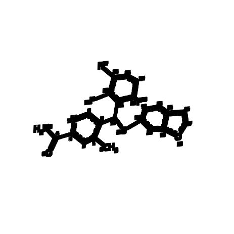 Cc1cc(C(N)=O)ncc1C(Sc1ccc2ccoc2c1)c1c(F)ccc(F)c1F